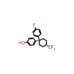 Oc1ccc([C@]2(c3ccc(F)cc3)CC[C@H](C(F)(F)F)CC2)cc1